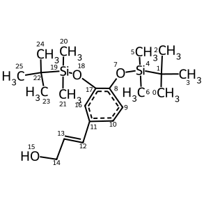 CC(C)(C)[Si](C)(C)Oc1ccc(C=CCO)cc1O[Si](C)(C)C(C)(C)C